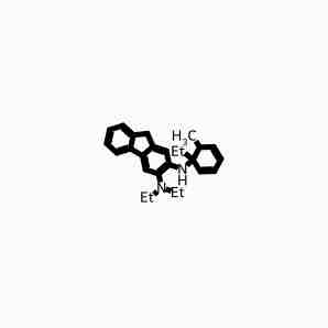 CCN(CC)c1cc2c(cc1NC1(CC)C=CC=CC1C)Cc1ccccc1-2